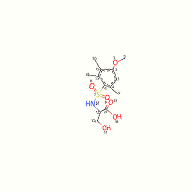 COc1cc(C)c(S(=O)(=O)NC(CO)C(=O)O)c(C)c1C